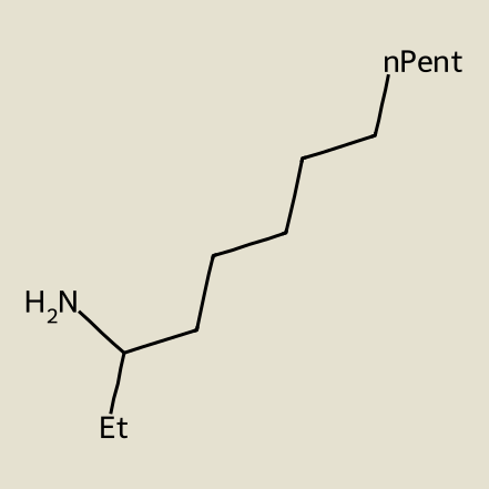 [CH2]CC(N)CCCCCCCCCC